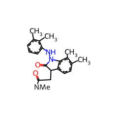 CNC(=O)CC1C(=O)N(Nc2cccc(C)c2C)c2c1ccc(C)c2C